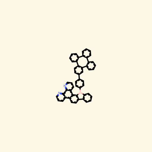 c1ccc2c(c1)B(c1ccc(-c3ccc4c(c3)-c3ccccc3-c3ccccc3-c3ccccc3-4)cc1)c1c-2ccc2c3cccnc3c3ncccc3c12